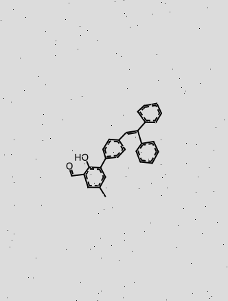 Cc1cc(C=O)c(O)c(-c2ccc(C=C(c3ccccc3)c3ccccc3)cc2)c1